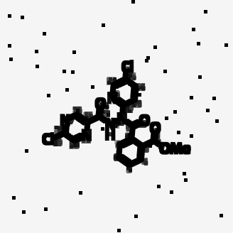 COC(=O)c1ccccc1C(=O)N(NC(=O)c1cnc(Cl)cn1)c1ccc(Cl)cn1